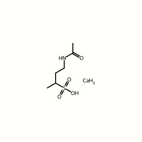 CC(=O)NCCC(C)S(=O)(=O)O.[CaH2]